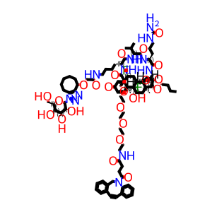 CCCC1O[C@@H]2C[C@H]3[C@@H]4C[C@H](F)C5=CC(=O)C=C[C@]5(C)[C@@]4(F)[C@@H](O)C[C@]3(C)[C@]2(C(=O)CNC(=O)[C@H](CCCNC(N)=O)NC(=O)[C@@H](NC(=O)[C@@H](CCCCNC(=O)COC2CCCCCc3c2nnn3C2O[C@H](CO)[C@H](O)[C@H](O)[C@H]2O)NC(=O)CCOCCOCCOCCOCCNC(=O)CCC(=O)N2Cc3ccccc3C#Cc3ccccc32)C(C)C)O1